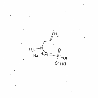 C=CCN(C)C.Cl.O=P([O-])(O)O.[Na+]